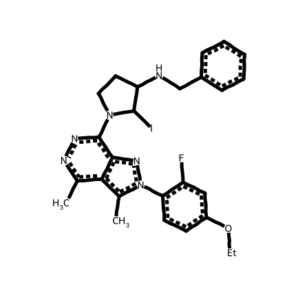 CCOc1ccc(-n2nc3c(N4CCC(NCc5ccccc5)C4I)nnc(C)c3c2C)c(F)c1